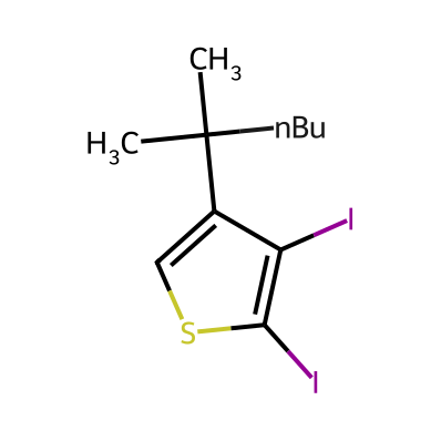 CCCCC(C)(C)c1csc(I)c1I